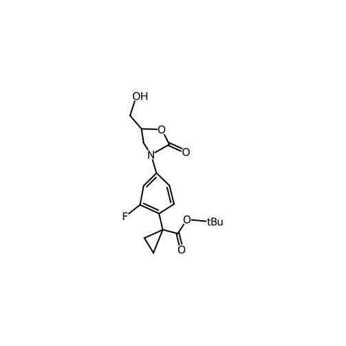 CC(C)(C)OC(=O)C1(c2ccc(N3CC(CO)OC3=O)cc2F)CC1